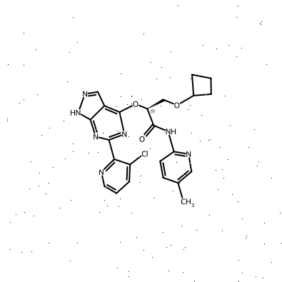 Cc1ccc(NC(=O)[C@H](COC2CCC2)Oc2nc(-c3ncccc3Cl)nc3[nH]ncc23)nc1